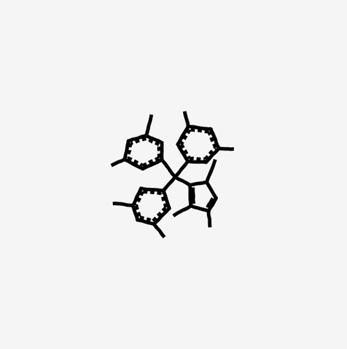 CC1=CC(C)C(C(c2cc(C)cc(C)c2)(c2cc(C)cc(C)c2)c2cc(C)cc(C)c2)=C1C